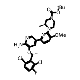 COc1ccc(-c2cnc(N)c(O[C@H](C)c3c(Cl)ccc(F)c3Cl)c2)nc1N1CCN(C(=O)OC(C)(C)C)C[C@@H]1C